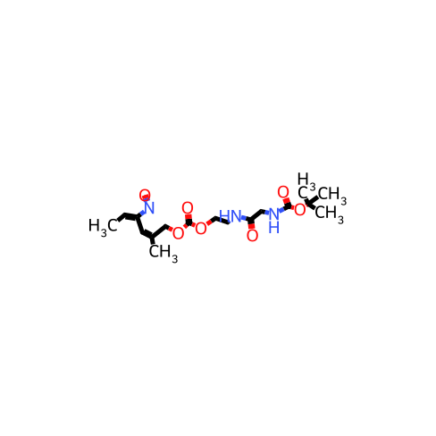 C/C=C(\C=C(\C)COC(=O)OCCNC(=O)CNC(=O)OC(C)(C)C)N=O